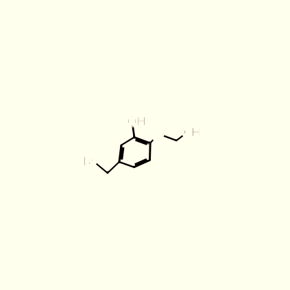 CCOc1ccc(CBr)cc1O